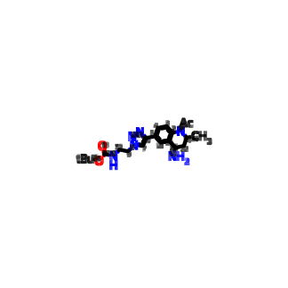 CC(=O)N1c2ccc(-c3cn(CCNC(=O)OC(C)(C)C)nn3)cc2[C@H](N)C[C@@H]1C